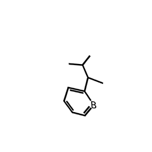 CC(C)C(C)c1bcccc1